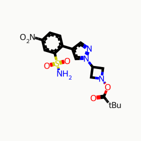 CC(C)(C)C(=O)ON1CC(n2cc(-c3ccc([N+](=O)[O-])cc3S(N)(=O)=O)cn2)C1